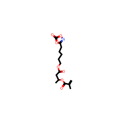 C=C(C)C(=O)OC(C)CC(=O)OCCCCCc1noc(=O)o1